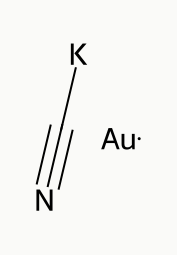 N#[C][K].[Au]